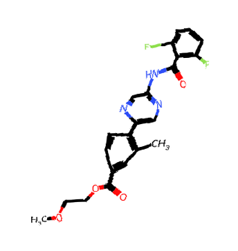 COCCOC(=O)c1ccc(-c2cnc(NC(=O)c3c(F)cccc3F)cn2)c(C)c1